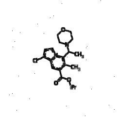 Cc1c(C(=O)OC(C)C)cc2c(Cl)ccn2c1C(C)N1CCOCC1